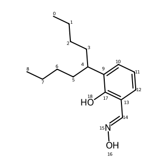 CCCCC(CCCC)c1cccc(C=NO)c1O